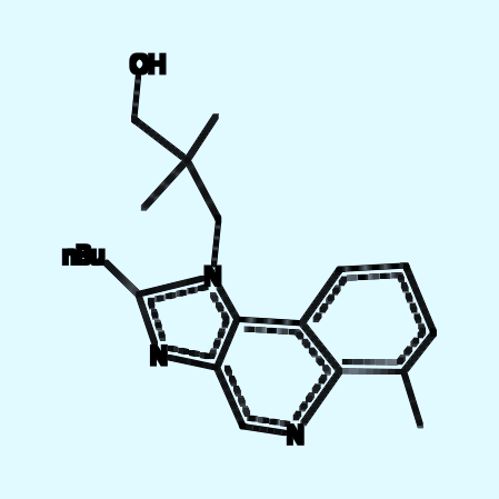 CCCCc1nc2cnc3c(C)cccc3c2n1CC(C)(C)CO